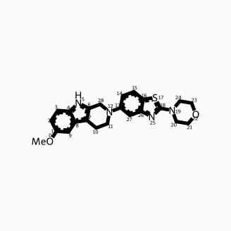 COc1ccc2[nH]c3c(c2c1)CCN(c1ccc2sc(N4CCOCC4)nc2c1)C3